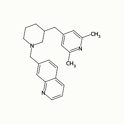 Cc1cc(CC2CCCN(Cc3ccc4cccnc4c3)C2)cc(C)n1